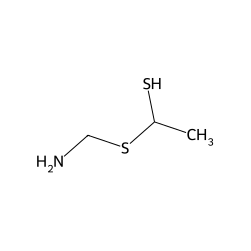 CC(S)SCN